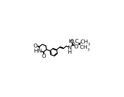 CC(C)(C)OC(=O)NC/C=C/c1cccc(C2CCC(=O)NC2=O)c1